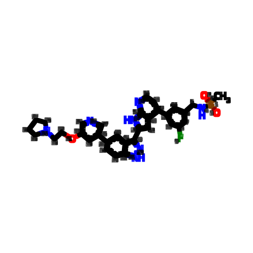 CS(=O)(=O)NCc1cc(F)cc(-c2ccnc3[nH]c(-c4n[nH]c5ccc(-c6cncc(OCCN7CCCC7)c6)cc45)cc23)c1